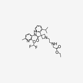 CCOC(=O)CNCCN1CC(C(=O)Nc2ccc(C)nc2OC(F)F)(c2ccccc2C(C)C)C1